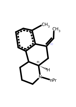 C/C=C1/C[C@@H]2C(CCCN2CCC)c2cccc(C)c21